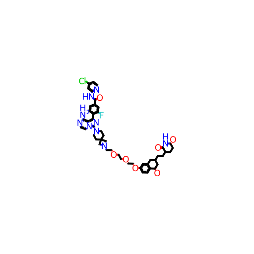 Nc1nccn2c(N3CCC4(CC3)CN(CCOCCOCCOc3ccc5c(c3)CC(CCC3CCC(=O)NC3=O)CC5=O)C4)nc(-c3ccc(C(=O)Nc4cc(Cl)ccn4)cc3F)c12